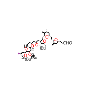 C=C1C[C@H](CCC=O)O[C@H]1CC[C@H]1C[C@@H](C)C(=C)[C@@H](C[C@@H]2O[C@H](C[C@H](C)CC)[C@H](C)[C@H]2CC(=O)CC2CC[C@@H]3O[C@@H]([C@H](/C=C/I)O[Si](C)(C)C(C)(C)C)[C@@H](O[Si](C)(C)C(C)(C)C)[C@@H](C)[C@H]3O2)O1